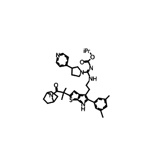 Cc1cc(C)cc(-c2[nH]c3sc(C(C)(C)C(=O)N4C5CCC4CC5)cc3c2CCN/C(=N/C(=O)OC(C)C)N2CCC(c3ccncc3)C2)c1